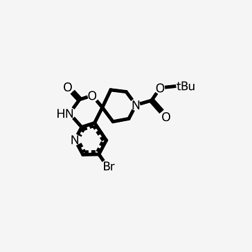 CC(C)(C)OC(=O)N1CCC2(CC1)OC(=O)Nc1ncc(Br)cc12